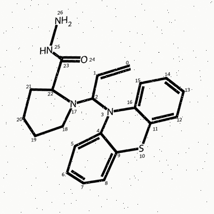 C=CC(N1c2ccccc2Sc2ccccc21)N1CCCCC1C(=O)NN